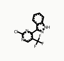 FC(F)(F)c1cnc(Cl)nc1-c1n[nH]c2ccccc12